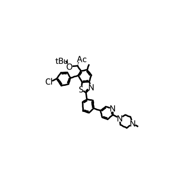 CC(=O)[C@@H](OC(C)(C)C)c1c(C)cc2nc(-c3cccc(-c4ccc(N5CCN(C)CC5)nc4)c3)sc2c1-c1ccc(Cl)cc1